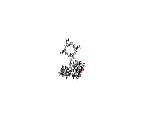 FC(F)(F)C(OCC(COCCN1CCNCCNCCNCC1)(COC(C(F)(F)F)(C(F)(F)F)C(F)(F)F)COC(C(F)(F)F)(C(F)(F)F)C(F)(F)F)(C(F)(F)F)C(F)(F)F